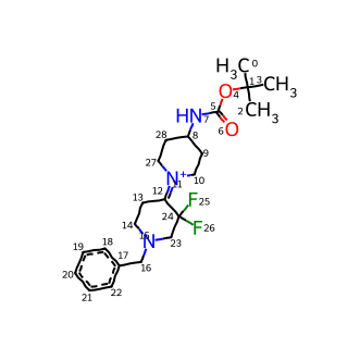 CC(C)(C)OC(=O)NC1CC[N+](=C2CCN(Cc3ccccc3)CC2(F)F)CC1